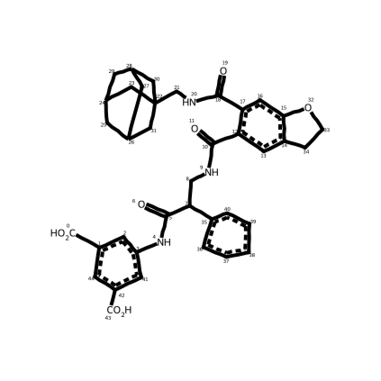 O=C(O)c1cc(NC(=O)C(CNC(=O)c2cc3c(cc2C(=O)NCC24CC5CC(CC(C5)C2)C4)OCC3)c2ccccc2)cc(C(=O)O)c1